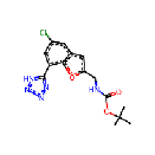 CC(C)(C)OC(=O)NCc1cc2cc(Cl)cc(-c3nnn[nH]3)c2o1